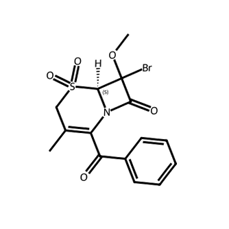 COC1(Br)C(=O)N2C(C(=O)c3ccccc3)=C(C)CS(=O)(=O)[C@H]21